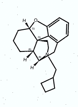 c1cc2c3c(c1)O[C@H]1CCC[C@H]4[C@@H](C2)N(CC2CCC2)CC[C@]314